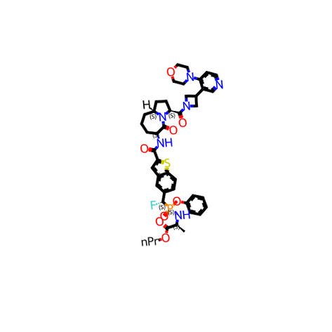 CCCOC(=O)[C@H](C)N[P@@](=O)(Oc1ccccc1)[C@H](F)c1ccc2sc(C(=O)N[C@H]3CCC[C@H]4CC[C@@H](C(=O)N5CC(c6cnccc6N6CCOCC6)C5)N4C3=O)cc2c1